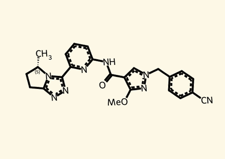 COc1nn(Cc2ccc(C#N)cc2)cc1C(=O)Nc1cccc(-c2nnc3n2[C@@H](C)CC3)n1